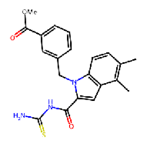 COC(=O)c1cccc(Cn2c(C(=O)NC(N)=S)cc3c(C)c(C)ccc32)c1